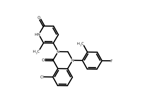 Cc1cc(F)ccc1N1CN(c2ccc(=O)[nH]c2C)C(=O)c2c(Cl)cccc21